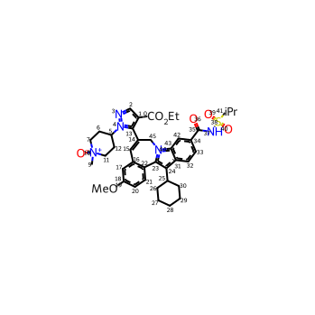 CCOC(=O)c1cnn(C2CC[N+](C)([O-])CC2)c1C1=Cc2cc(OC)ccc2-c2c(C3CCCCC3)c3ccc(C(=O)NS(=O)(=O)C(C)C)cc3n2C1